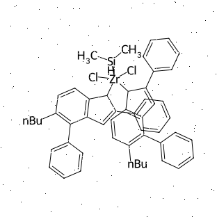 CCCCc1ccc2c(c1-c1ccccc1)C=C(c1ccccc1)[CH]2[Zr]([Cl])([Cl])([CH]1C(c2ccccc2)=Cc2c1ccc(CCCC)c2-c1ccccc1)[SiH](C)C